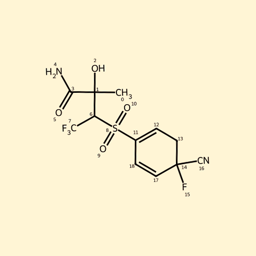 CC(O)(C(N)=O)C(C(F)(F)F)S(=O)(=O)C1=CCC(F)(C#N)C=C1